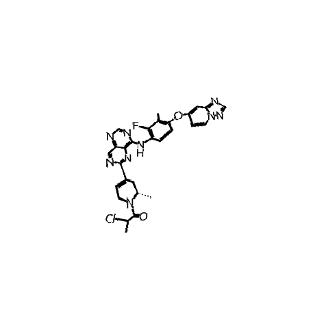 Cc1c(Oc2ccn3ncnc3c2)ccc(Nc2ncnc3cnc(C4=CCN(C(=O)C(C)Cl)[C@@H](C)C4)nc23)c1F